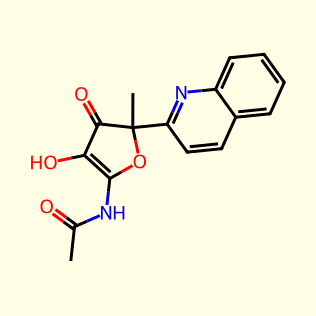 CC(=O)NC1=C(O)C(=O)C(C)(c2ccc3ccccc3n2)O1